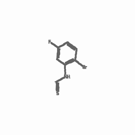 Fc1ccc(Br)c(N[C]=S)c1